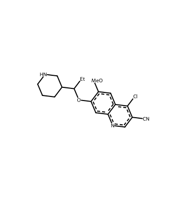 CCC(Oc1cc2ncc(C#N)c(Cl)c2cc1OC)C1CCCNC1